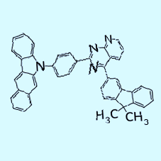 CC1(C)c2ccccc2-c2cc(-c3nc(-c4ccc(-n5c6ccccc6c6cc7ccccc7cc65)cc4)nc4ncccc34)ccc21